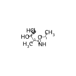 CCOC(=N)C(C)C(=O)O.Cl